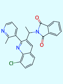 Cc1ncccc1-c1nc2c(Cl)cccc2cc1C(C)N1C(=O)c2ccccc2C1=O